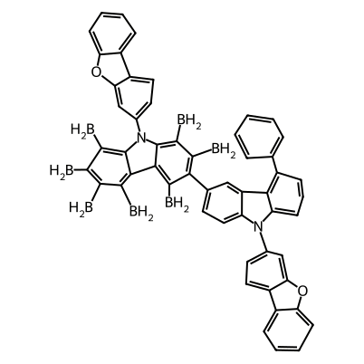 Bc1c(B)c(B)c2c(c1B)c1c(B)c(-c3ccc4c(c3)c3c(-c5ccccc5)cccc3n4-c3ccc4c(c3)oc3ccccc34)c(B)c(B)c1n2-c1ccc2c(c1)oc1ccccc12